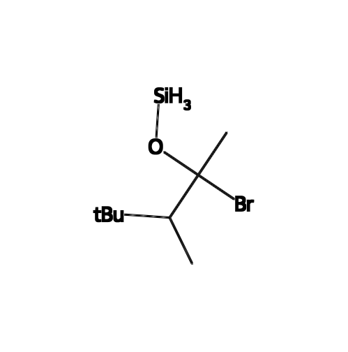 CC(C(C)(C)C)C(C)(Br)O[SiH3]